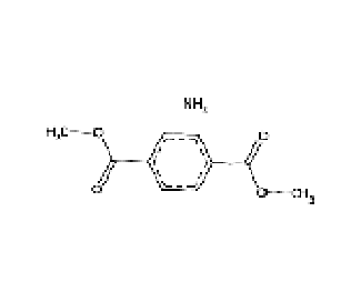 COC(=O)c1ccc(C(=O)OC)cc1.N